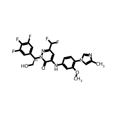 COc1cc(Nc2cc(C(F)F)nn([C@@H](CO)c3cc(F)c(F)c(F)c3)c2=O)ccc1-n1cnc(C)c1